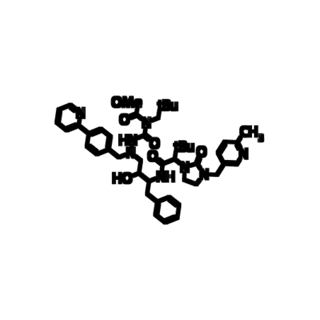 COC(=O)N(CC(C)(C)C)C(=O)NN(Cc1ccc(-c2ccccn2)cc1)CC(O)C(Cc1ccccc1)NC(=O)C(N1CCN(Cc2ccc(C)nc2)C1=O)C(C)(C)C